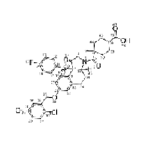 C[C@]1(C(=O)N2CC[C@@]3(S(=O)(=O)c4ccc(F)cc4)c4ccc(OCc5cc(Cl)ccc5Cl)cc4CC[C@@H]23)CC[C@H](C(=O)O)CC1